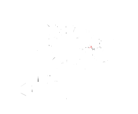 CC[C@H]1OC(=O)[C@H](C)[C@@H](OC2C[C@@](C)(OC)[C@@H](OC(=O)c3ccccc3)[C@H](C)O2)[C@H](C)[C@@H](OC2O[C@H](C)C[C@H](N(C)C)[C@H]2O)[C@@](C)(OC)C[C@@H](C)C(=O)[C@H](C)[C@@H]2[C@@H]1OC(=O)N2C